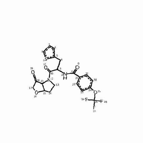 O=C(NC(Cc1cccs1)C(=O)N1CCC2OCC(=O)C21)c1ccc(OC(F)(F)F)cc1